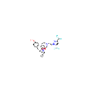 Oc1ccc2c(c1)[C@@]13CCN(CCn4nc(C(F)F)cc4C(F)F)CC[C@@]1(O)[C@@H](C2)N(CC1CC1)CC3